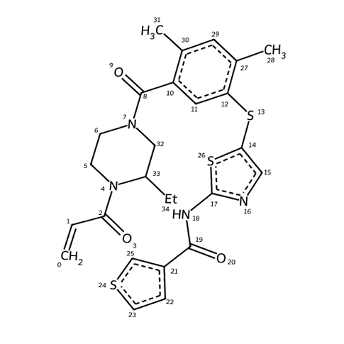 C=CC(=O)N1CCN(C(=O)c2cc(Sc3cnc(NC(=O)c4ccsc4)s3)c(C)cc2C)CC1CC